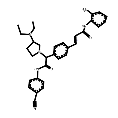 CCN(CC)C1CCN(C(C(=O)Nc2ccc(C#N)cc2)c2ccc(/C=C/C(=O)Nc3ccccc3N)cc2)C1